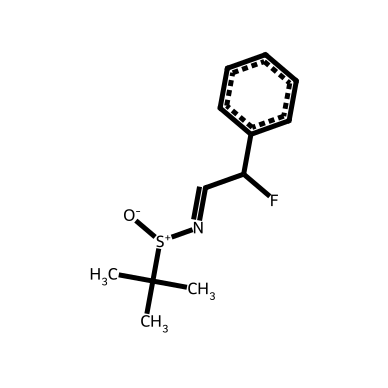 CC(C)(C)[S+]([O-])N=CC(F)c1ccccc1